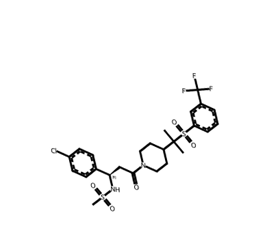 CC(C)(C1CCN(C(=O)C[C@@H](NS(C)(=O)=O)c2ccc(Cl)cc2)CC1)S(=O)(=O)c1cccc(C(F)(F)F)c1